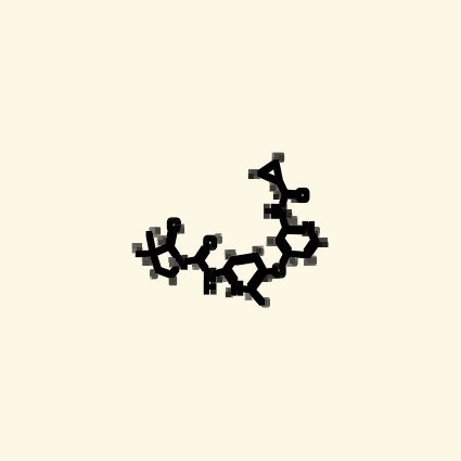 Cc1nc(NC(=O)N2CCC(C)(C)C2=O)ccc1Oc1ccnc(NC(=O)C2CC2)c1